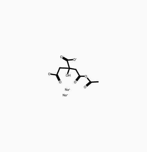 CC(=O)OC(=O)CC(O)(CC(=O)[O-])C(=O)[O-].[Na+].[Na+]